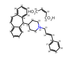 C1=Cc2ccccc2C(C2CCN(C/C=C/c3ccccc3)CC2)c2ccccc21.O=C(O)/C=C\C(=O)O